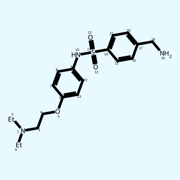 CCN(CC)CCOc1ccc(NS(=O)(=O)c2ccc(CN)cc2)cc1